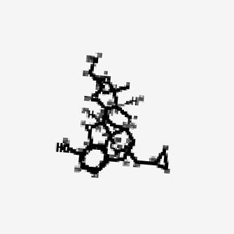 CC(C)(O)[C@H]1C[C@@]23CC[C@]1(OCC[18F])[C@@H]1Oc4c(O)ccc5c4C12CCN(CC1CC1)C3C5